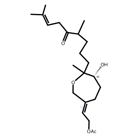 CC(=O)OC/C=C1\CC[C@@H](O)C(C)(CCCC(C)C(=O)CC=C(C)C)OC1